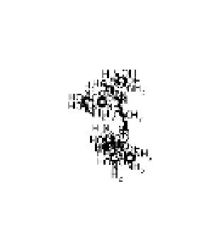 C/C(CCc1cn(C[C@H]2O[C@@H](O[C@H]3C(O[C@H]4OC(CN)C(O)[C@H](O)C4N)C(N)C[C@@H](N)C3O)C(O)C2O[C@H]2O[C@@H](CN)C(O)C(O)C2N)nn1)=C(/C)CCc1cn(C[C@H]2O[C@@H](O[C@H]3C(O[C@H]4OC(CN)C(O)[C@H](O)C4N)C(N)C[C@@H](N)C3O)C(O)C2O[C@H]2O[C@@H](CN)C(O)C(O)C2N)nn1